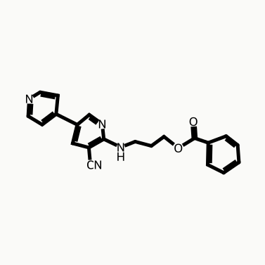 N#Cc1cc(-c2ccncc2)cnc1NCCCOC(=O)c1ccccc1